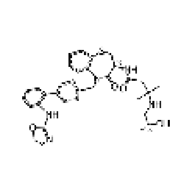 C[C@@H](O)CNC(C)(C)CC(=O)N[C@@H]1CSc2ccccc2N(Cc2ccc(-c3ccccc3NC3=NCCO3)cc2)C1=O